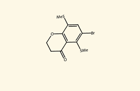 CSc1cc(Br)c(SC)c2c1OCCC2=O